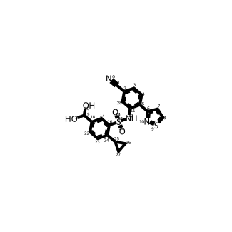 N#Cc1ccc(-c2ccsn2)c(NS(=O)(=O)c2cc(C(O)O)ccc2C2CC2)c1